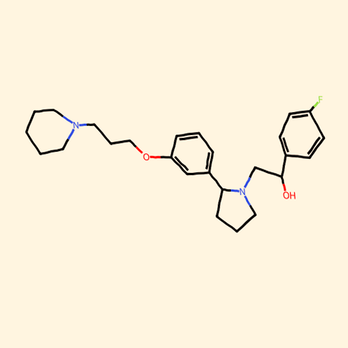 OC(CN1CCCC1c1cccc(OCCCN2CCCCC2)c1)c1ccc(F)cc1